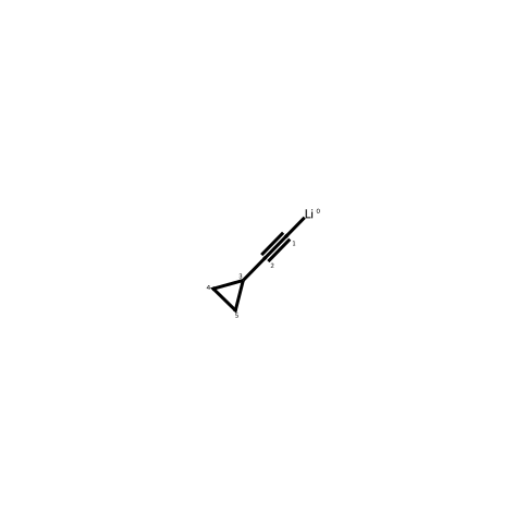 [Li][C]#CC1CC1